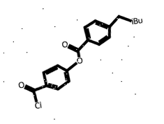 CCC(C)Cc1ccc(C(=O)Oc2ccc(C(=O)Cl)cc2)cc1